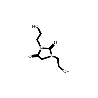 O=C1CN(CCO)C(=O)N1CCO